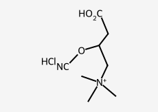 C[N+](C)(C)CC(CC(=O)O)OC#N.Cl